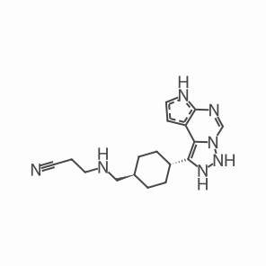 N#CCCNC[C@H]1CC[C@H](C2=C3c4cc[nH]c4N=CN3NN2)CC1